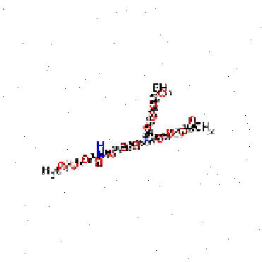 COCCOCCOCCC(=O)NCCOCCOCCOCCN(CCOCCOCCOCCC(C)=O)CCOCCOCCOCCC(C)=O